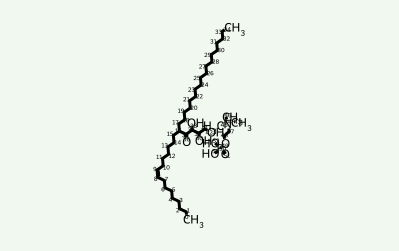 CCCCCCCC/C=C\CCCCCCC(CCCCCCCCCCCCCCCCCC)C(=O)C(O)C(O)CO.C[N+](C)(C)CCOP(=O)(O)O